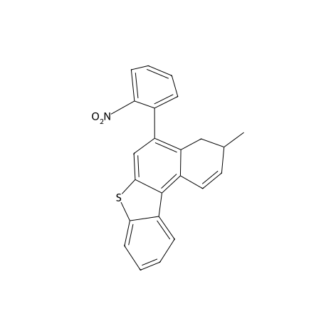 CC1C=Cc2c(c(-c3ccccc3[N+](=O)[O-])cc3sc4ccccc4c23)C1